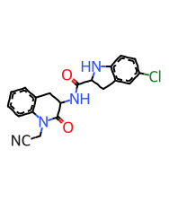 N#CCN1C(=O)C(NC(=O)C2Cc3cc(Cl)ccc3N2)Cc2ccccc21